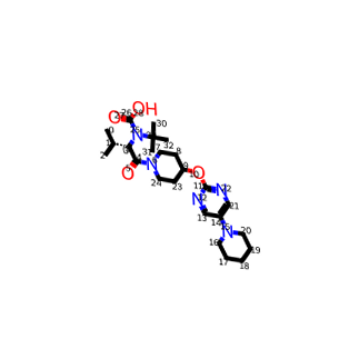 CC(C)[C@@H](C(=O)N1CCC(Oc2ncc(N3CCCCC3)cn2)CC1)N(C(=O)O)C(C)(C)C